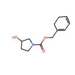 O=C(OCC1=CC=CCC1)N1CCC(O)C1